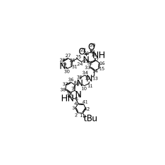 CC(C)(C)c1ccc(-c2nc3c(N4CCN(Cc5ccc6[nH]c(=O)c(=O)n(CCc7ccncc7)c6c5)CC4)cccc3[nH]2)cc1